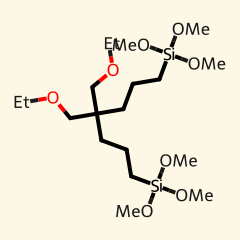 CCOCC(CCC[Si](OC)(OC)OC)(CCC[Si](OC)(OC)OC)COCC